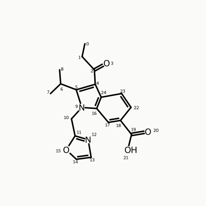 CCC(=O)c1c(C(C)C)n(Cc2ncco2)c2cc(C(=O)O)ccc12